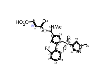 CNC(OC(=O)/C=C/C(=O)O)c1cc(-c2ccccc2F)n(S(=O)(=O)c2cnn(C)c2)c1